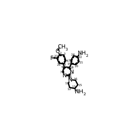 COc1ccc(-c2cnc(N3CCC(N)CC3)nc2-c2ccc(N)cc2)cc1F